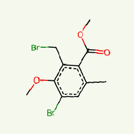 COC(=O)c1c(C)cc(Br)c(OC)c1CBr